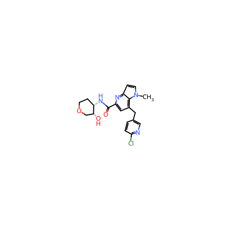 Cn1ccc2nc(C(=O)N[C@H]3CCOC[C@H]3O)cc(Cc3ccc(Cl)nc3)c21